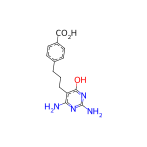 Nc1nc(N)c(CCCc2ccc(C(=O)O)cc2)c(O)n1